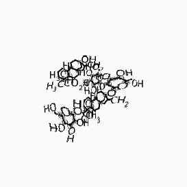 C=C1C[C@@]23CC[C@H]4[C@@](C)(CCC[C@@]4(C)C(=O)O)[C@@H]2CC[C@]1(O)C3.C=C1C[C@@]23CC[C@H]4[C@@](C)(CCC[C@@]4(C)C(=O)O[C@@H]4O[C@H](CO)[C@@H](O)[C@H](O)[C@H]4O)[C@@H]2CC[C@]1(O[C@@H]1O[C@H](CO)[C@@H](O)[C@H](O)[C@H]1O[C@@H]1O[C@H](CO)[C@@H](O)[C@H](O)[C@H]1O)C3